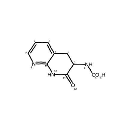 O=C(O)NC1Cc2cccnc2NC1=O